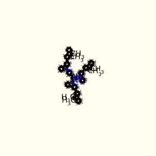 CC1(C)c2ccccc2-c2ccc(-c3ccc4c(c3)c3ccccc3n4-c3ccc(-c4cc(-n5c6ccccc6c6cc(-c7ccc8c(c7)C(C)(C)c7ccccc7-8)ccc65)nc(-n5c6ccccc6c6cc(-c7ccc8c(c7)C(C)(C)c7ccccc7-8)ccc65)n4)cc3)cc21